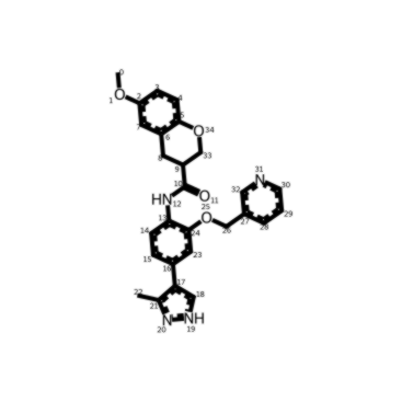 COc1ccc2c(c1)CC(C(=O)Nc1ccc(-c3c[nH]nc3C)cc1OCc1cccnc1)CO2